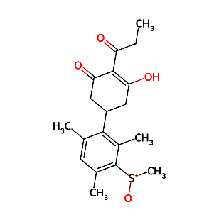 CCC(=O)C1=C(O)CC(c2c(C)cc(C)c([S+](C)[O-])c2C)CC1=O